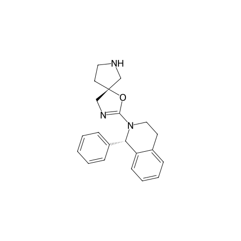 c1ccc([C@H]2c3ccccc3CCN2C2=NC[C@]3(CCNC3)O2)cc1